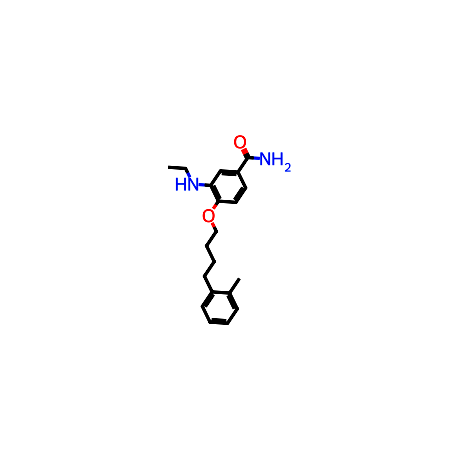 CCNc1cc(C(N)=O)ccc1OCCCCc1ccccc1C